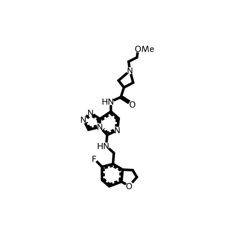 COCCN1CC(C(=O)Nc2cnc(NCc3c(F)ccc4c3CCO4)n3cnnc23)C1